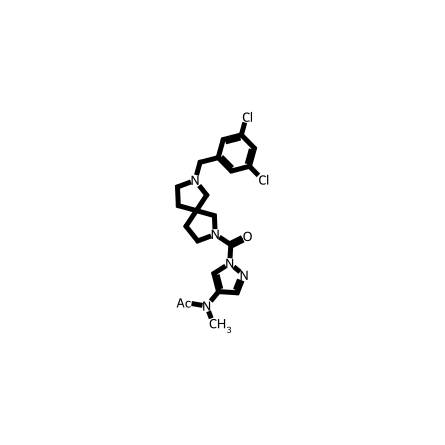 CC(=O)N(C)c1cnn(C(=O)N2CCC3(CCN(Cc4cc(Cl)cc(Cl)c4)C3)C2)c1